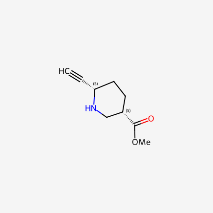 C#C[C@@H]1CC[C@H](C(=O)OC)CN1